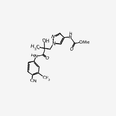 COC(=O)Nc1cnn(CC(C)(O)C(=O)Nc2ccc(C#N)c(C(F)(F)F)c2)c1